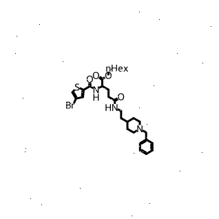 CCCCCCOC(=O)C(CCC(=O)NCCC1CCN(Cc2ccccc2)CC1)NC(=O)c1cc(Br)cs1